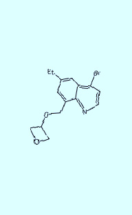 CCc1cc(COC2COC2)c2nccc(Br)c2c1